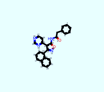 O=C(Cc1ccccc1)Nc1onc(-c2cccc3ccccc23)c1-c1ccncn1